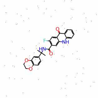 CC(C)(NC(=O)c1cc2[nH]c3ccccc3c(=O)c2cc1F)c1ccc2c(c1)OCCO2